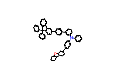 c1ccc(N(c2ccc(-c3ccc4c(c3)oc3ccccc34)cc2)c2cccc(-c3ccc(-c4ccc5c(c4)-c4ccccc4C5(c4ccccc4)c4ccccc4)cc3)c2)cc1